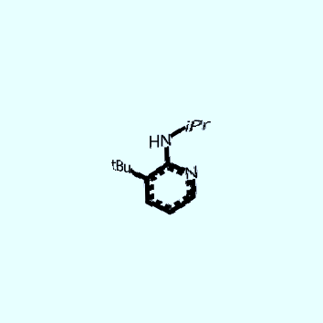 CC(C)Nc1ncccc1C(C)(C)C